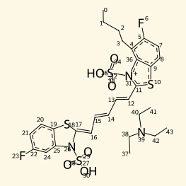 CCCCc1c(F)ccc2sc(C=CC=CC=C3Sc4ccc(F)cc4N3S(=O)(=O)O)[n+](S(=O)(=O)O)c12.CCN(CC)CC